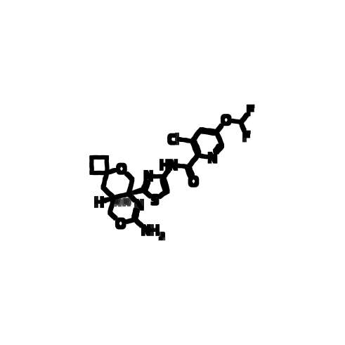 NC1=N[C@@]2(c3nc(NC(=O)c4ncc(OC(F)F)cc4Cl)cs3)COC3(CCC3)C[C@H]2CO1